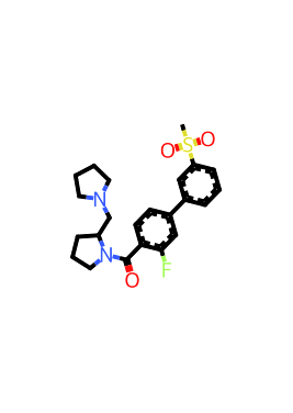 CS(=O)(=O)c1cccc(-c2ccc(C(=O)N3CCCC3CN3CCCC3)c(F)c2)c1